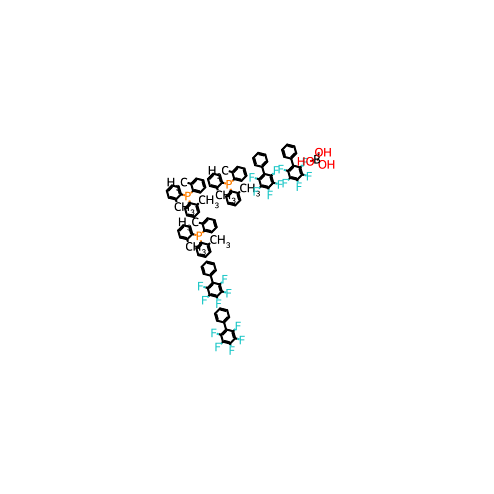 Cc1ccccc1P(c1ccccc1C)c1ccccc1C.Cc1ccccc1P(c1ccccc1C)c1ccccc1C.Cc1ccccc1P(c1ccccc1C)c1ccccc1C.Fc1c(F)c(F)c(-c2ccccc2)c(F)c1F.Fc1c(F)c(F)c(-c2ccccc2)c(F)c1F.Fc1c(F)c(F)c(-c2ccccc2)c(F)c1F.Fc1c(F)c(F)c(-c2ccccc2)c(F)c1F.OB(O)O